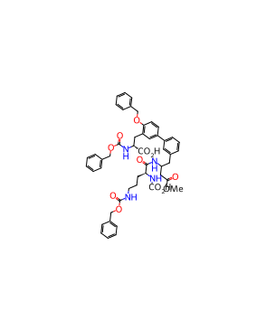 COC(=O)CC(Cc1cccc(-c2ccc(OCc3ccccc3)c(C[C@H](NC(=O)OCc3ccccc3)C(=O)O)c2)c1)NC(=O)[C@H](CCCNC(=O)OCc1ccccc1)NC(=O)O